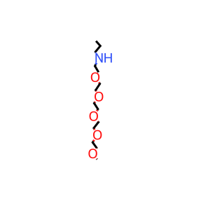 CCCNCCOCCOCCOCCOCCOC